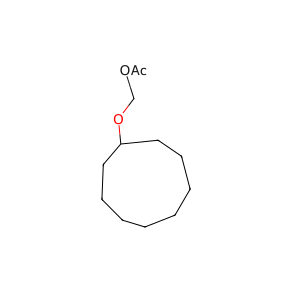 CC(=O)OCOC1CCCCCCCC1